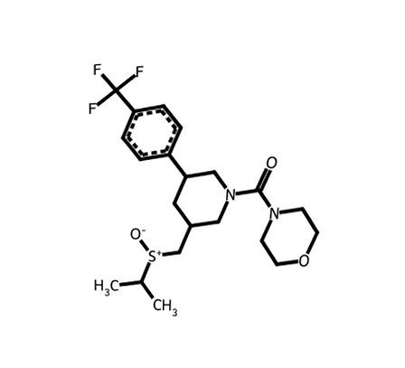 CC(C)[S+]([O-])CC1CC(c2ccc(C(F)(F)F)cc2)CN(C(=O)N2CCOCC2)C1